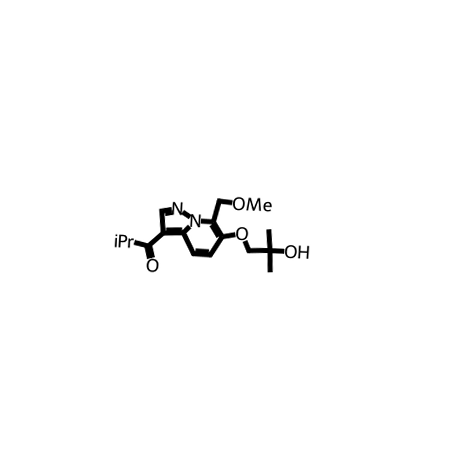 COCc1c(OCC(C)(C)O)ccc2c(C(=O)C(C)C)cnn12